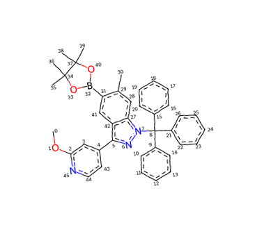 COc1cc(-c2nn(C(c3ccccc3)(c3ccccc3)c3ccccc3)c3cc(C)c(B4OC(C)(C)C(C)(C)O4)cc23)ccn1